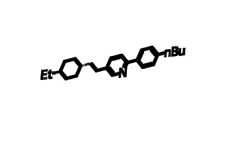 CCCCc1ccc(-c2ccc(CC[C@H]3CC[C@H](CC)CC3)cn2)cc1